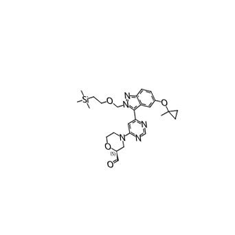 CC1(Oc2ccc3nn(COCC[Si](C)(C)C)c(-c4cc(N5CCO[C@H](C=O)C5)ncn4)c3c2)CC1